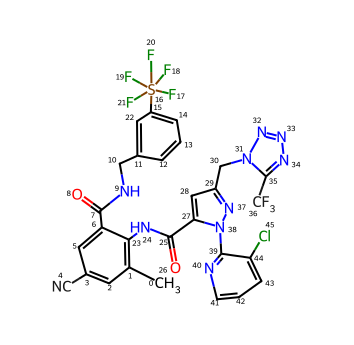 Cc1cc(C#N)cc(C(=O)NCc2cccc(S(F)(F)(F)(F)F)c2)c1NC(=O)c1cc(Cn2nnnc2C(F)(F)F)nn1-c1ncccc1Cl